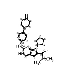 CN(C)C(=O)c1cc2c(n1C1CCCC1)=NC(Nc1ccc(N3CCNCC3)cn1)NC=2